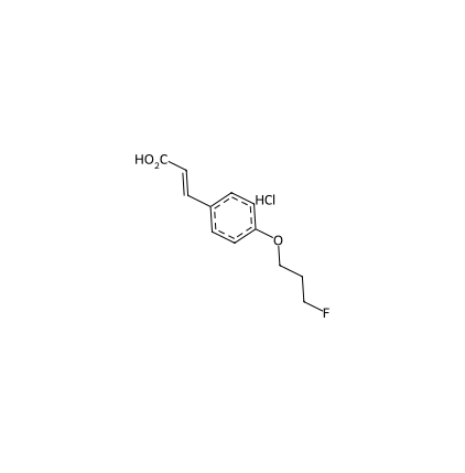 Cl.O=C(O)C=Cc1ccc(OCCCF)cc1